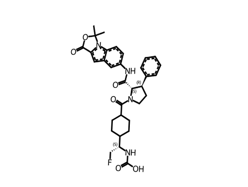 CC1(C)OC(=O)c2cc3cc(NC(=O)[C@@H]4[C@@H](c5ccccc5)CCN4C(=O)C4CCC([C@@H](CF)NC(=O)O)CC4)ccc3n21